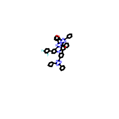 Fc1ccc(-c2ccc(-n3c4cc(-c5nc(-c6ccccc6)nc(-c6ccccc6)n5)ccc4c4ccc(-c5nc(-c6ccccc6)nc(-c6ccccc6)n5)cc43)c(-c3nc(-c4ccccc4)nc(-c4ccccc4)n3)c2)c(F)c1